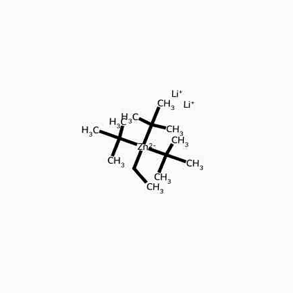 C[CH2][Zn-2]([C](C)(C)C)([C](C)(C)C)[C](C)(C)C.[Li+].[Li+]